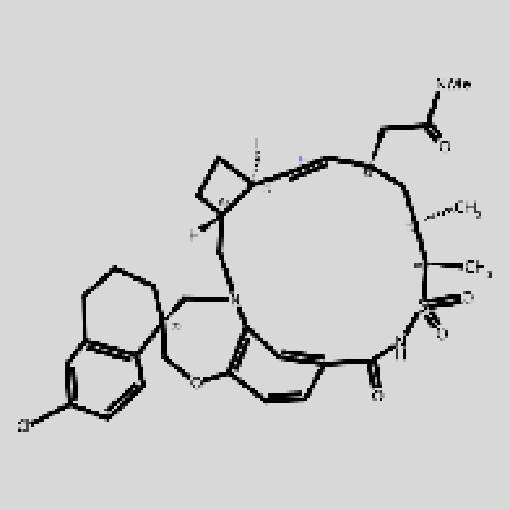 CNC(=O)C[C@@H]1/C=C/[C@@H]2CC[C@H]2CN2C[C@@]3(CCCc4cc(Cl)ccc43)COc3ccc(cc32)C(=O)NS(=O)(=O)[C@H](C)[C@@H](C)C1